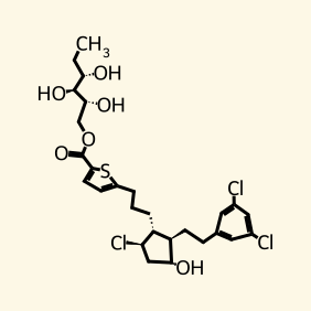 CC[C@H](O)[C@H](O)[C@H](O)COC(=O)c1ccc(CCC[C@@H]2[C@@H](CCc3cc(Cl)cc(Cl)c3)[C@H](O)C[C@H]2Cl)s1